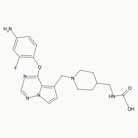 Nc1ccc(Oc2ncnn3ccc(CN4CCC(CNC(=O)O)CC4)c23)c(F)c1